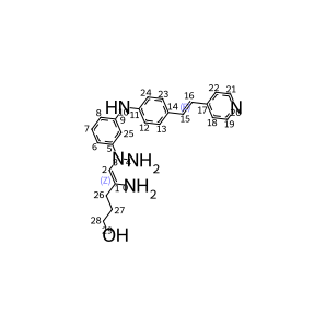 N/C(=C\N(N)c1cccc(Nc2ccc(/C=C/c3ccncc3)cc2)c1)CCCO